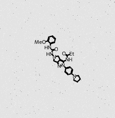 CCC(=O)Nc1c2c(nn1-c1ccc(N3CCCC3)cc1)CN(NC(=O)Nc1ccccc1OC)C2